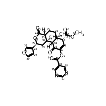 COC(=O)[C@@H]1C=C(OC(=O)c2cncnc2)C(=O)[C@H]2[C@@]1(C)CC[C@H]1C(=O)O[C@H](c3ccoc3)C[C@]21C